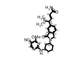 COc1nc(N[C@@H]2CCC[C@H](N3Cc4ccc(C(C=CC(N)=O)N(C)C)cc4C3=O)C2)ncc1C#N